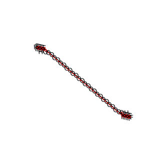 OC(COCCOCCOCCOCCOCCOCCOCCOCCOCCOCCOCCOCCOCCOCCOCCOCCOCCOCCOCCOCCOCCOCCOCCOCC(O)CC(F)(F)C(F)(F)C(F)(F)C(F)(F)C(F)(F)C(F)(F)F)CC(F)(F)C(F)(F)C(F)(F)C(F)(F)C(F)(F)C(F)(F)F